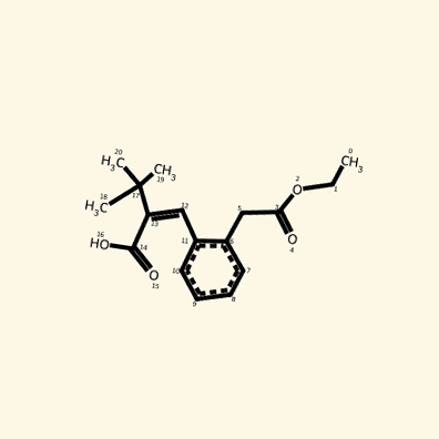 CCOC(=O)Cc1ccccc1C=C(C(=O)O)C(C)(C)C